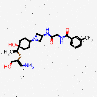 C=C(S/C(=C\N)CO)C1(O)CCC(N2CC(NC(=O)CNC(=O)c3cccc(C(F)(F)F)c3)C2)CC1